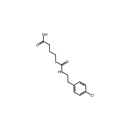 O=C(O)CCCSC(=S)NCCc1ccc(Cl)cc1